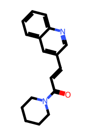 O=C(C=Cc1cnc2ccccc2c1)N1CCCCC1